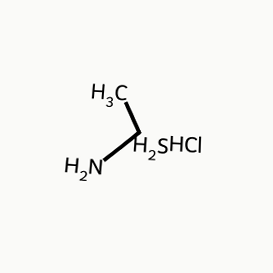 CCN.Cl.S